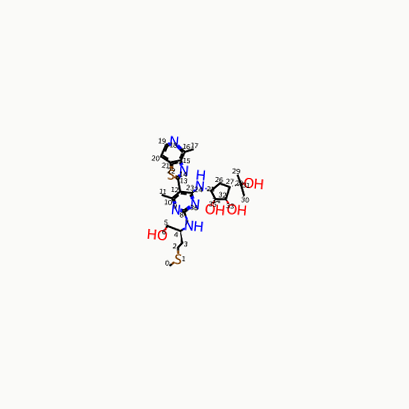 CSCC[C@@H](CO)Nc1nc(C)c(-c2nc3c(C)nccc3s2)c(N[C@@H]2C[C@H](C(C)(C)O)[C@@H](O)[C@H]2O)n1